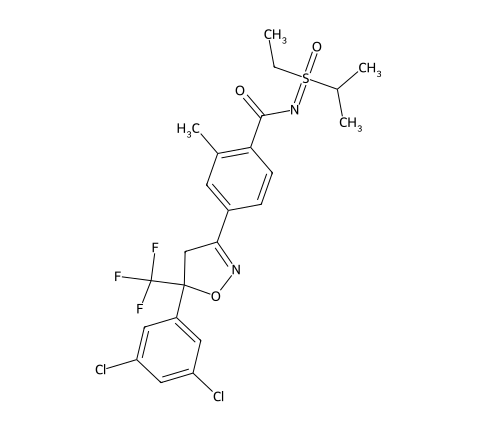 CCS(=O)(=NC(=O)c1ccc(C2=NOC(c3cc(Cl)cc(Cl)c3)(C(F)(F)F)C2)cc1C)C(C)C